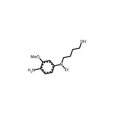 CCN(CCCCO)c1ccc(N)c(OC)c1